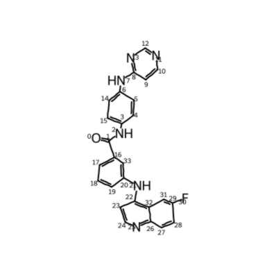 O=C(Nc1ccc(Nc2ccncn2)cc1)c1cccc(Nc2ccnc3ccc(F)cc23)c1